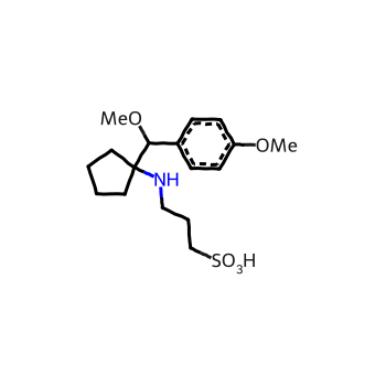 COc1ccc(C(OC)C2(NCCCS(=O)(=O)O)CCCC2)cc1